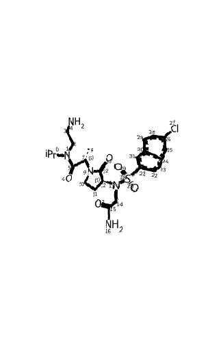 CC(C)N(CCN)C(=O)[C@H](C)N1CC[C@H](N(CC(N)=O)S(=O)(=O)c2ccc3cc(Cl)ccc3c2)C1=O